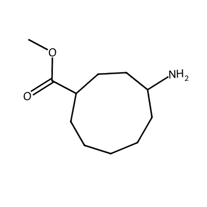 COC(=O)C1CCCCCC(N)CC1